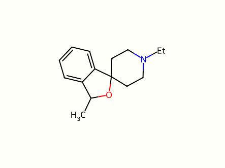 CCN1CCC2(CC1)OC(C)c1ccccc12